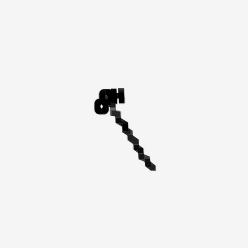 CCCCCCCCCC=CCCCCC(=O)O